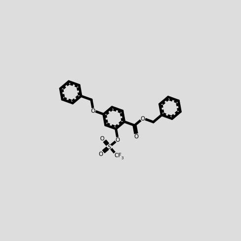 O=C(OCc1ccccc1)c1ccc(OCc2ccccc2)cc1OS(=O)(=O)C(F)(F)F